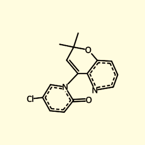 CC1(C)C=C(n2cc(Cl)ccc2=O)c2ncccc2O1